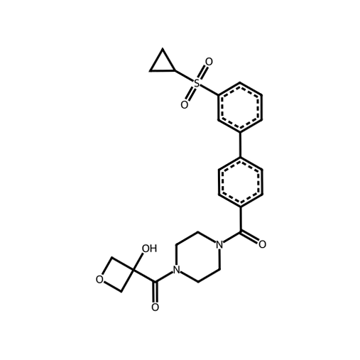 O=C(c1ccc(-c2cccc(S(=O)(=O)C3CC3)c2)cc1)N1CCN(C(=O)C2(O)COC2)CC1